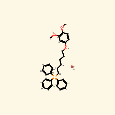 COc1ccc(OCCCCCC[P+](c2ccccc2)(c2ccccc2)c2ccccc2)cc1OC.[Br+]